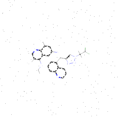 CC(C)(C)CNc1c(C#N)cnc2c(C#N)cc(N[C@H](C3=CN(C(C)(C)C(F)F)NN3)c3cccc4ncccc34)cc12